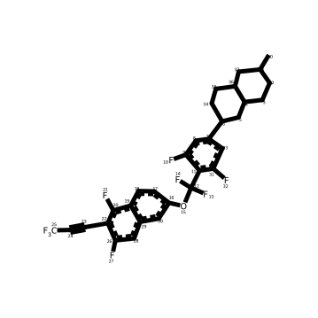 CC1CCC2CC(c3cc(F)c(C(F)(F)Oc4ccc5c(F)c(C#CC(F)(F)F)c(F)cc5c4)c(F)c3)CCC2C1